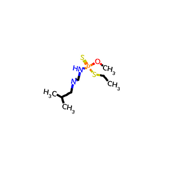 CCSP(=S)(N/C=N/CC(C)C)OC